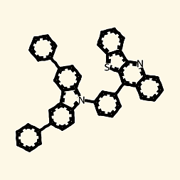 c1ccc(-c2ccc3c(c2)c2cc(-c4ccccc4)ccc2n3-c2cccc(-c3c4ccccc4nc4c3sc3ccccc34)c2)cc1